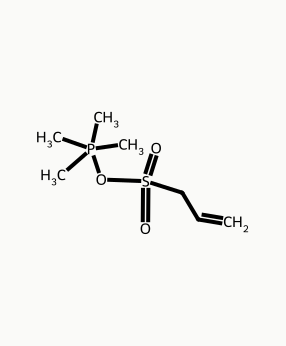 C=CCS(=O)(=O)OP(C)(C)(C)C